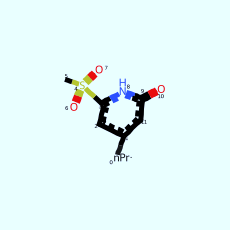 CC[CH]c1cc(S(C)(=O)=O)[nH]c(=O)c1